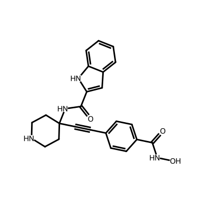 O=C(NO)c1ccc(C#CC2(NC(=O)c3cc4ccccc4[nH]3)CCNCC2)cc1